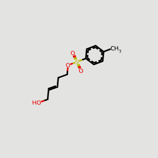 Cc1ccc(S(=O)(=O)OCCC=CCO)cc1